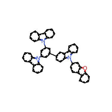 c1ccc2c(c1)oc1cc(-n3c4ccccc4c4cc(-c5cc(-n6c7ccccc7c7ccccc76)cc(-n6c7ccccc7c7ccccc76)c5)ccc43)ccc12